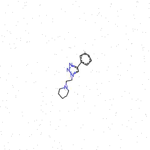 [c]1cccc(-c2cn(CCN3CCCCC3)nn2)c1